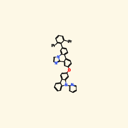 CC(C)c1cccc(C(C)C)c1-c1ccc2c3ccc(Oc4ccc5c6ccccc6n(-c6ccccn6)c5c4)cc3c3nccn3c2c1